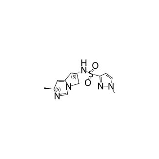 C[C@H]1C=C2C[C@H](NS(=O)(=O)c3ccn(C)n3)CN2C=N1